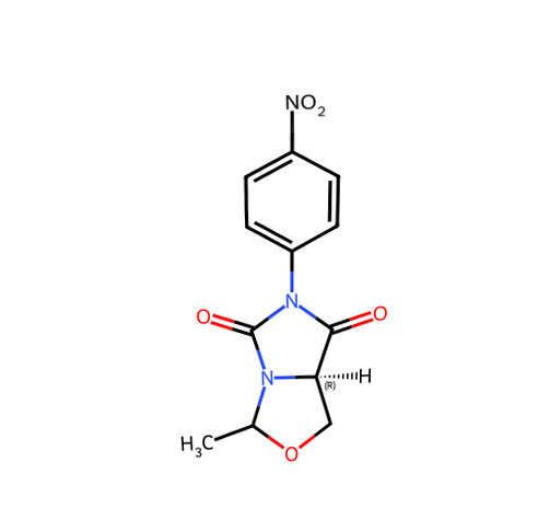 CC1OC[C@@H]2C(=O)N(c3ccc([N+](=O)[O-])cc3)C(=O)N12